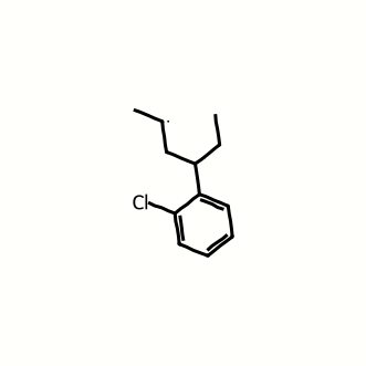 C[CH]CC(CC)c1ccccc1Cl